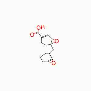 O=C(O)C1=CC2OC2(CC2CCCC3=C2O3)CC1